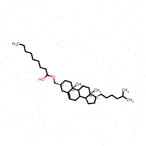 CCCCCCCCC(O)OC[C@H]1CC[C@@]2(C)C(=CCC3C2CC[C@@]2(C)C3CC[C@@H]2CCCCC(C)C)C1